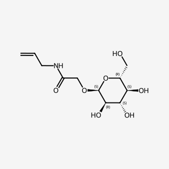 C=CCNC(=O)CO[C@H]1O[C@H](CO)[C@@H](O)[C@H](O)[C@H]1O